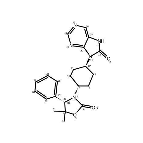 CC1(C)OC(=O)N([C@H]2CC[C@H](n3c(=O)[nH]c4cncnc43)CC2)[C@H]1c1ccccc1